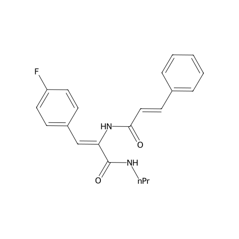 CCCNC(=O)/C(=C/c1ccc(F)cc1)NC(=O)/C=C/c1ccccc1